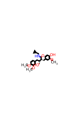 COc1cc(C[C@@H](C(=O)NCC2CC2)[C@H](CO)Cc2ccc(OC)c(OC)c2)ccc1O